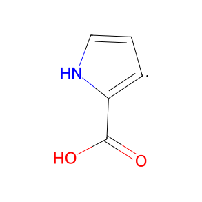 O=C(O)c1[c]cc[nH]1